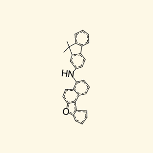 CC1(C)c2ccccc2-c2ccc(Nc3cccc4c3ccc3oc5ccccc5c34)cc21